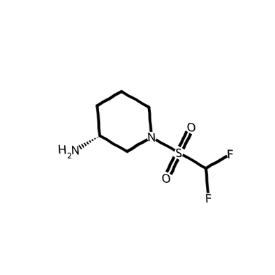 N[C@@H]1CCCN(S(=O)(=O)C(F)F)C1